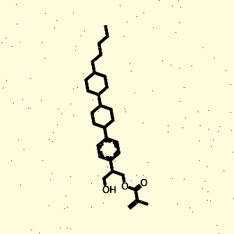 C=C(C)C(=O)OCC(CO)c1ccc(C2CCC(C3CCC(CCCCC)CC3)CC2)cc1